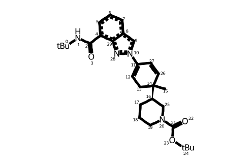 CC(C)(C)NC(=O)c1cccc2cn(C3=CCC(C)([C@@H]4CCCN(C(=O)OC(C)(C)C)C4)C=C3)nc12